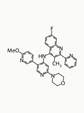 COc1ccc(-c2cnc(N3CCOCC3)cc2Nc2c(C)c(-c3ccccn3)nc3cc(F)ccc23)cn1